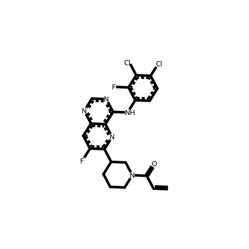 C=CC(=O)N1CCCC(c2nc3c(Nc4ccc(Cl)c(Cl)c4F)ncnc3cc2F)C1